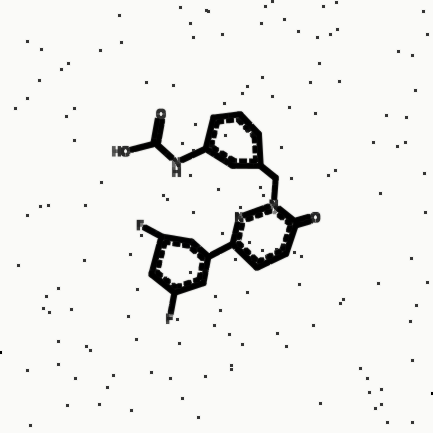 O=C(O)Nc1cccc(Cn2nc(-c3cc(F)cc(F)c3)ccc2=O)c1